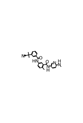 CNc1ccc(NC(=O)c2cc(NC(=O)c3cccc(C(C)(C)C#N)c3)ccc2C)cn1